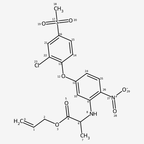 C=CCOC(=O)C(C)Nc1cc(Oc2ccc(S(C)(=O)=O)cc2Cl)ccc1[N+](=O)[O-]